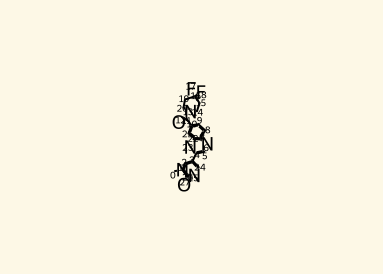 Cn1cc(-c2cnc3ccc(C(=O)N4CCC(F)(F)CC4)cc3n2)cnc1=O